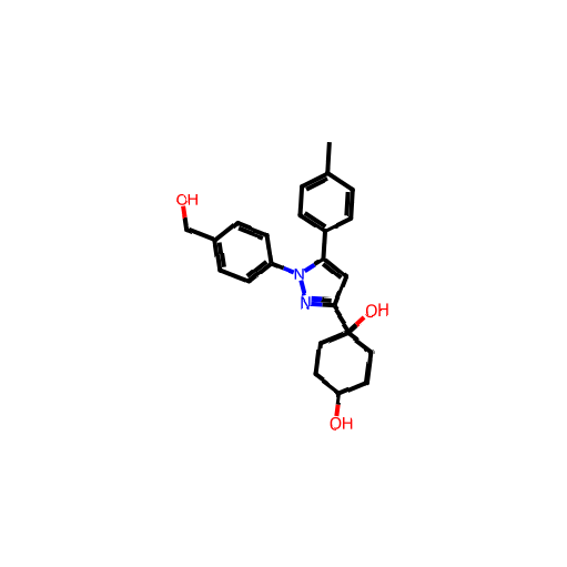 Cc1ccc(-c2cc(C3(O)CCC(O)CC3)nn2-c2ccc(CO)cc2)cc1